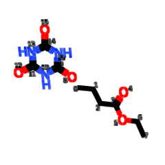 CCCC(=O)OCC.O=c1[nH]c(=O)[nH]c(=O)[nH]1